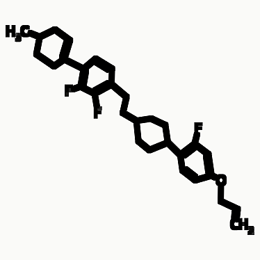 C=CCOc1ccc(C2CCC(CCc3ccc(C4=CCC(C)CC4)c(F)c3F)CC2)c(F)c1